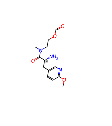 COc1ccc(C[C@H](N)C(=O)N(C)CCOC=O)cn1